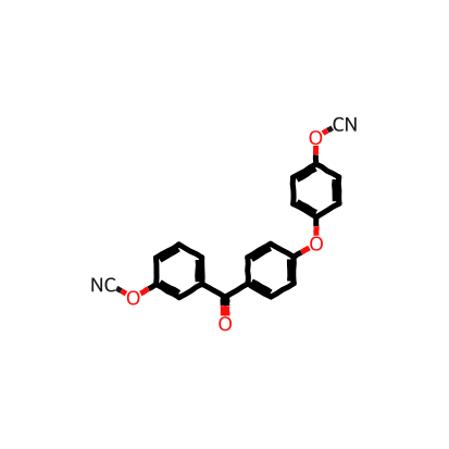 N#COc1ccc(Oc2ccc(C(=O)c3cccc(OC#N)c3)cc2)cc1